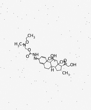 CCON(C)COC(=O)N/N=C1\C=C[C@@]2(C)C(=C1)CC[C@@H]1C2[C@@H](O)C[C@@]2(C)C1C[C@@H](C)[C@@H]2C(=O)CO